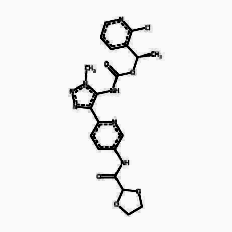 C[C@@H](OC(=O)Nc1c(-c2ccc(NC(=O)C3OCCO3)cn2)nnn1C)c1cccnc1Cl